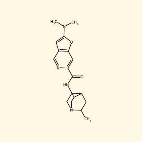 CC1CC2CCN1CC2NC(=O)c1cc2oc(N(C)C)cc2cn1